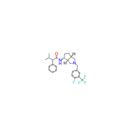 CC(C)C(C(=O)N[C@H]1CC[C@@H]2CN(Cc3ccc(F)c(C(F)(F)F)c3)C[C@@H]21)c1ccccc1